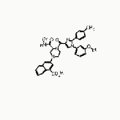 CCOc1cccc(-n2cc(C(=O)N3CCN(c4cc(C(=O)O)c5ccccc5c4)C[C@H]3C(=O)NC(C)C)nc2-c2ccc(C)cc2)c1